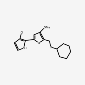 COc1cc(-c2[nH]ccc2Cl)oc1COC1CCCCC1